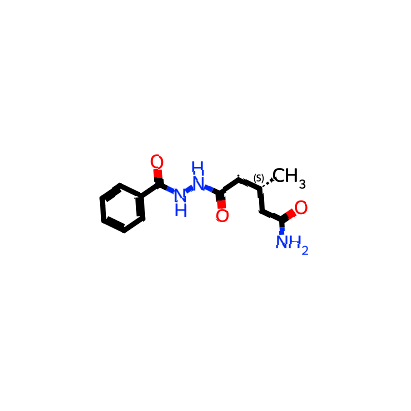 C[C@@H]([CH]C(=O)NNC(=O)c1ccccc1)CC(N)=O